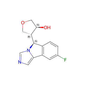 O[C@@H]1COC[C@H]1[C@H]1c2ccc(F)cc2-c2cncn21